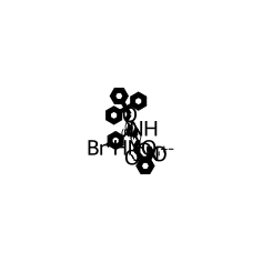 O=[N+]([O-])c1ccccc1S(=O)(=O)NC[C@@H]1N[C@H](COC(c2ccccc2)(c2ccccc2)c2ccccc2)[C@@H]1c1ccc(Br)cc1